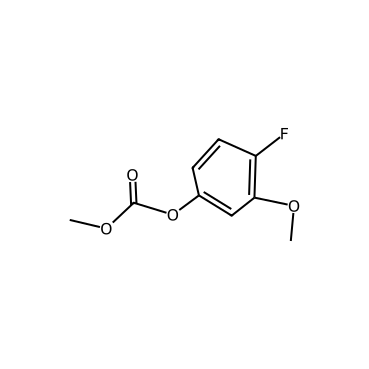 COC(=O)Oc1ccc(F)c(OC)c1